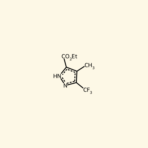 CCOC(=O)c1[nH]nc(C(F)(F)F)c1C